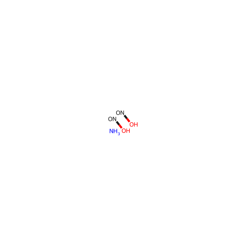 N.O=NO.O=NO